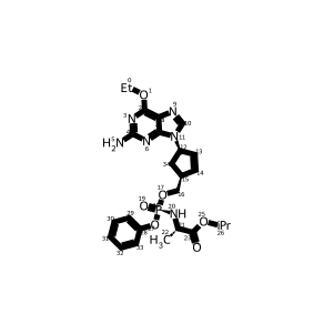 CCOc1nc(N)nc2c1ncn2[C@H]1C=C[C@@H](CO[P@](=O)(N[C@@H](C)C(=O)OC(C)C)Oc2ccccc2)C1